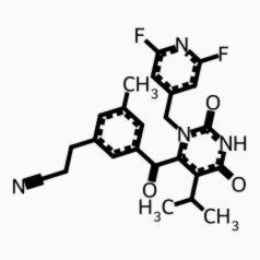 Cc1cc(CCC#N)cc(C(=O)c2c(C(C)C)c(=O)[nH]c(=O)n2Cc2cc(F)nc(F)c2)c1